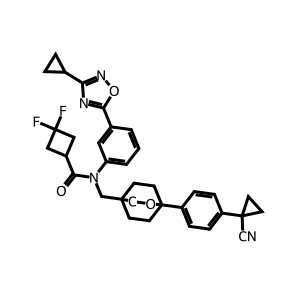 N#CC1(c2ccc(C34CCC(CN(C(=O)C5CC(F)(F)C5)c5cccc(-c6nc(C7CC7)no6)c5)(CC3)CO4)cc2)CC1